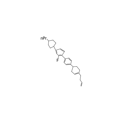 C=CCCC1=CCC(c2ccc(-c3ccc(C4CCC(CCC)CC4)cc3F)cc2)CC1